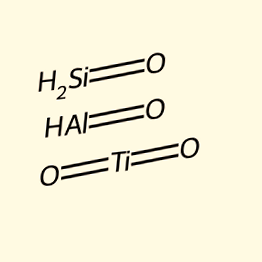 O=[SiH2].[O]=[AlH].[O]=[Ti]=[O]